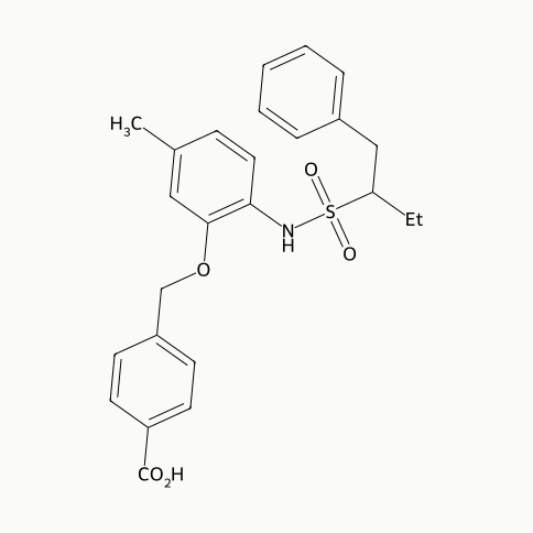 CCC(Cc1ccccc1)S(=O)(=O)Nc1ccc(C)cc1OCc1ccc(C(=O)O)cc1